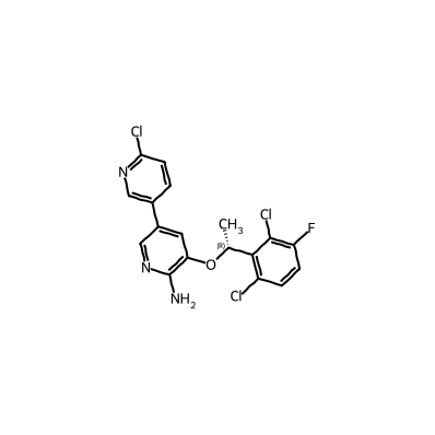 C[C@@H](Oc1cc(-c2ccc(Cl)nc2)cnc1N)c1c(Cl)ccc(F)c1Cl